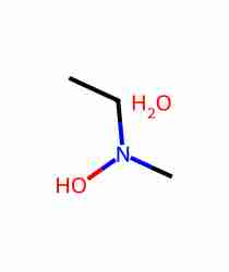 CCN(C)O.O